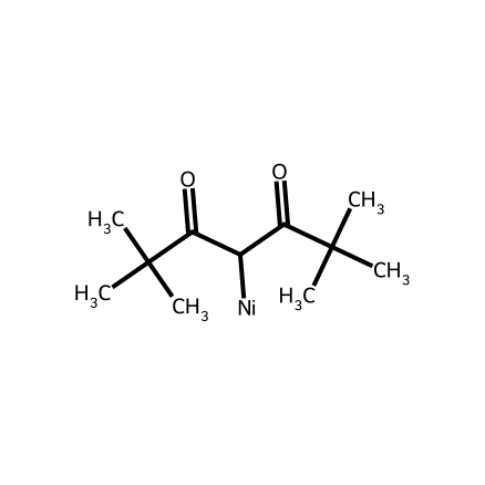 CC(C)(C)C(=O)[CH]([Ni])C(=O)C(C)(C)C